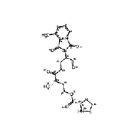 Cc1cccc2c1C(=O)N(C(C=O)CCC(=O)[C@@H](C)CCOC(=O)[C@@H]1CCCN1)C2=O